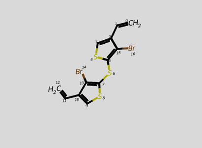 C=Cc1csc(Sc2scc(C=C)c2Br)c1Br